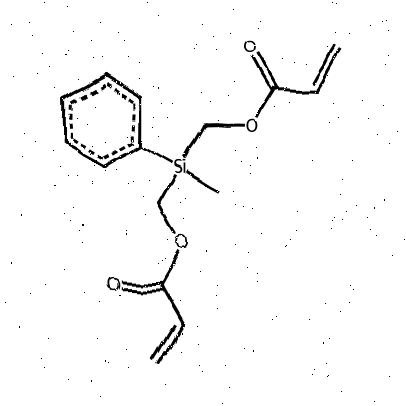 C=CC(=O)OC[Si](C)(COC(=O)C=C)c1ccccc1